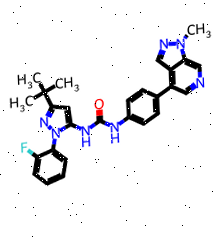 Cn1ncc2c(-c3ccc(NC(=O)Nc4cc(C(C)(C)C)nn4-c4ccccc4F)cc3)cncc21